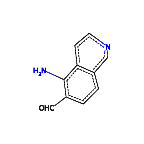 Nc1c(C=O)ccc2cnccc12